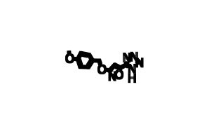 COc1ccc(COc2cc(-c3nnn[nH]3)on2)cc1